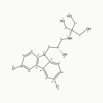 OCC(CO)(CO)NC[C@H](O)Cn1c2ccc(Cl)cc2c2cc(Cl)ccc21